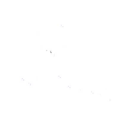 C[C@@H](Oc1ccc2[nH]nc(-c3ccc(N4CC5(CN(C(=O)C(F)(F)F)C5)C4)nc3)c2c1)c1c(Cl)cncc1Cl